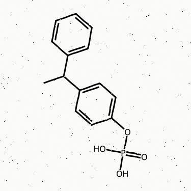 CC(c1ccccc1)c1ccc(OP(=O)(O)O)cc1